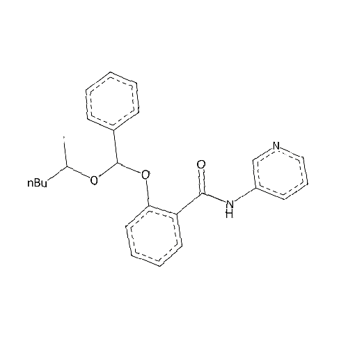 CCCCC(C)OC(Oc1ccccc1C(=O)Nc1cccnc1)c1ccccc1